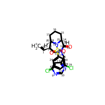 C=C[C@@H]1CN(Cc2ccncn2)C(=O)[C@@H]2CCC[C@H]1N2S(=O)(=O)c1cc(Cl)cc(Cl)c1